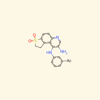 CC(=O)c1cccc(Nc2c(N)cnc3ccc4c(c23)CCS4(=O)=O)c1